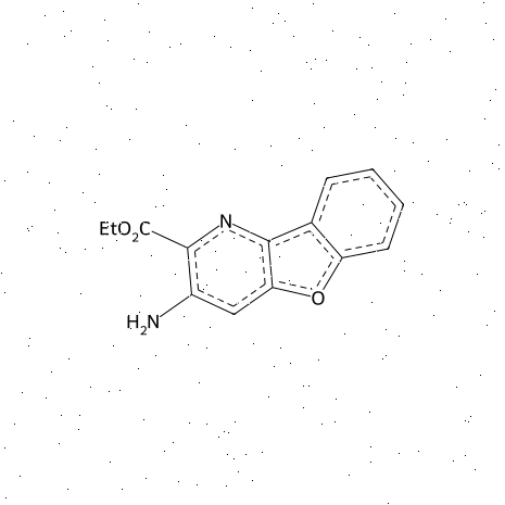 CCOC(=O)c1nc2c(cc1N)oc1ccccc12